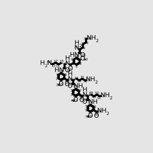 COc1ccc(C(=O)N[C@@H](CCCCN)C(=O)Nc2ccc(OC)c(C(=O)N[C@@H](CCCCN)C(=O)Nc3ccc(OC)c(C(=O)N[C@@H](CCCCN)C(=O)Nc4ccc(OC)c(C(N)=O)c4)c3)c2)cc1NC(=O)[C@@H](N)CCCCN